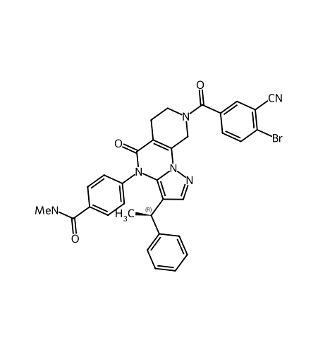 CNC(=O)c1ccc(-n2c(=O)c3c(n4ncc([C@H](C)c5ccccc5)c24)CN(C(=O)c2ccc(Br)c(C#N)c2)CC3)cc1